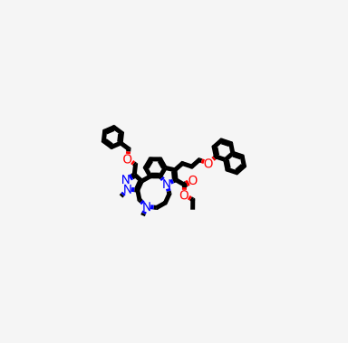 CCOC(=O)c1c(CCCOc2cccc3ccccc23)c2cccc3c2n1CCCN(C)Cc1c-3c(COCc2ccccc2)nn1C